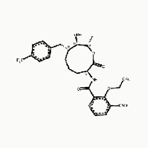 CCCC[C@@H]1[C@@H](Cc2ccc(C(F)(F)F)cc2)CCC[C@H](NC(=O)c2nccc(OC)c2OCOC(C)=O)C(=O)O[C@H]1C